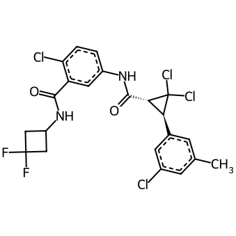 Cc1cc(Cl)cc([C@H]2[C@H](C(=O)Nc3ccc(Cl)c(C(=O)NC4CC(F)(F)C4)c3)C2(Cl)Cl)c1